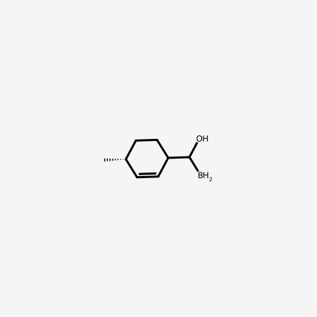 BC(O)C1C=C[C@H](C)CC1